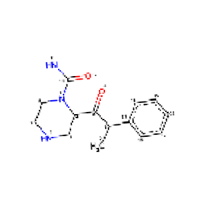 CC(C(=O)C1CNCCN1C([NH])=O)c1ccccc1